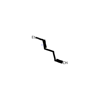 [CH]=CC/C=C/C[CH2]